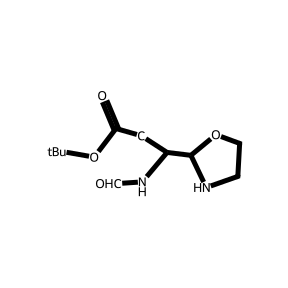 CC(C)(C)OC(=O)CC(NC=O)C1NCCO1